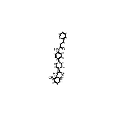 O=C(CCc1ccccn1)Nc1ccc(N2CCN(C(=O)Nc3c(Cl)cccc3Cl)CC2)cc1